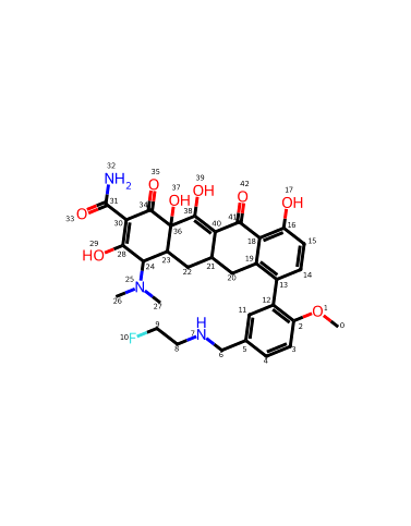 COc1ccc(CNCCF)cc1-c1ccc(O)c2c1CC1CC3C(N(C)C)C(O)=C(C(N)=O)C(=O)C3(O)C(O)=C1C2=O